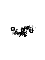 Cc1cc(Nc2ccc(-c3cc(NC(=O)OC4CC=CCC4)ncn3)c(S(=O)(=O)C3CC3)c2)nn1C1CCCCO1